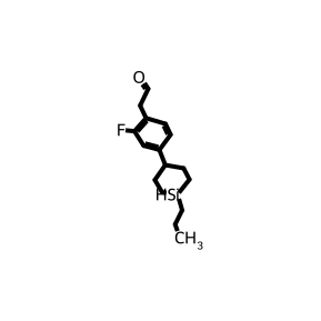 CCC[SiH]1CCC(c2ccc(CC=O)c(F)c2)CC1